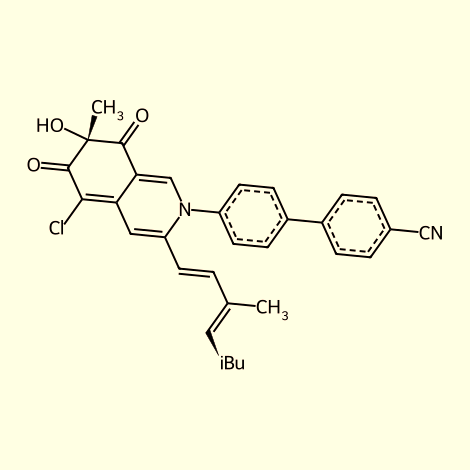 CC[C@H](C)/C=C(C)/C=C/C1=CC2=C(Cl)C(=O)[C@](C)(O)C(=O)C2=CN1c1ccc(-c2ccc(C#N)cc2)cc1